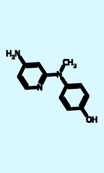 CN(c1ccc(O)cc1)c1cc(N)ccn1